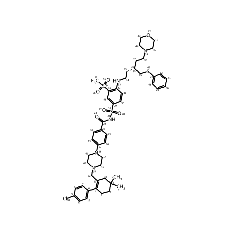 CC1(C)CCC(c2ccc(Cl)cc2)=C(CN2CCN(c3ccc(C(=O)NS(=O)(=O)c4ccc(NCC[C@H](CCN5CCOCC5)CSc5ccccc5)c(S(=O)(=O)C(F)(F)F)c4)cc3)CC2)C1